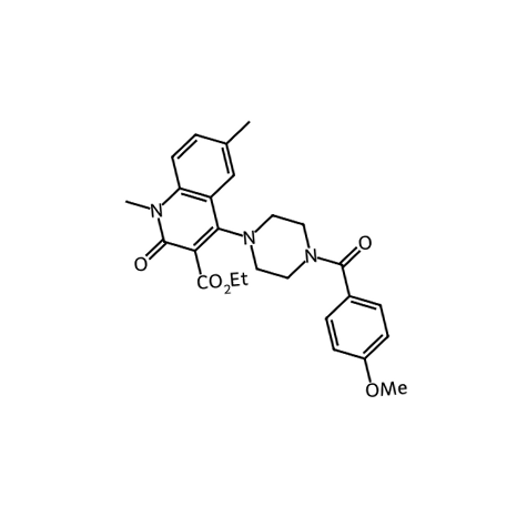 CCOC(=O)c1c(N2CCN(C(=O)c3ccc(OC)cc3)CC2)c2cc(C)ccc2n(C)c1=O